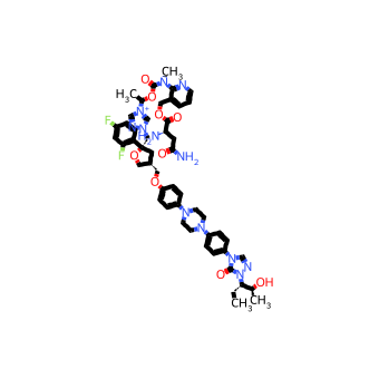 CC[C@@H]([C@H](C)O)n1ncn(-c2ccc(N3CCN(c4ccc(OC[C@@H]5CO[C@@](Cn6c[n+](C(C)OC(=O)N(C)c7ncccc7COC(=O)[C@@H](N)CC(N)=O)cn6)(c6ccc(F)cc6F)C5)cc4)CC3)cc2)c1=O